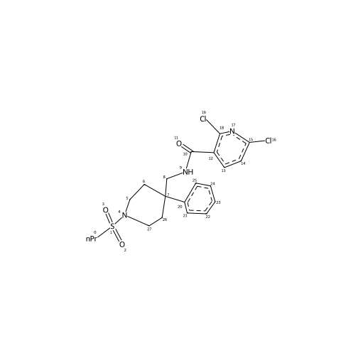 CCCS(=O)(=O)N1CCC(CNC(=O)c2ccc(Cl)nc2Cl)(c2ccccc2)CC1